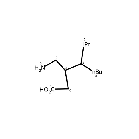 CCCCC(C(C)C)C(CN)CC(=O)O